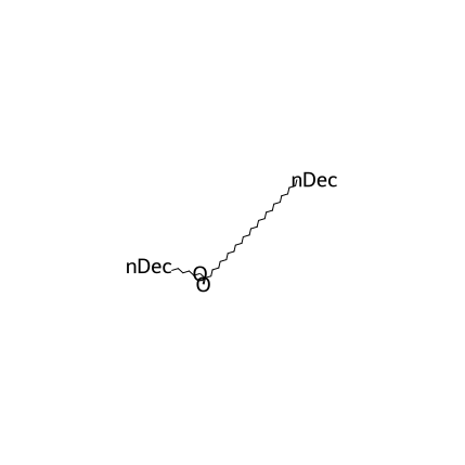 CCCCCCCCCCCCCCCCCCCCCCCCCCCCCCCCCC(=O)OCCCCCCCCCCCCCCC